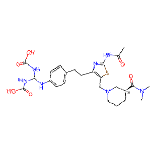 CC(=O)Nc1nc(CCc2ccc(NC(NC(=O)O)NC(=O)O)cc2)c(CN2CCC[C@H](C(=O)N(C)C)C2)s1